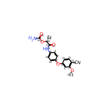 CCOc1cc(Oc2ccc(NC(=O)[C@@H](CC)OC(N)=O)cc2)ccc1C#N